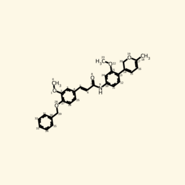 COc1cc(/C=C/C(=O)Nc2ccc(C3=CC=C(C)OC3)c(OC)c2)ccc1OCc1ccccc1